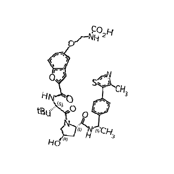 Cc1ncsc1-c1ccc([C@H](C)NC(=O)[C@@H]2C[C@@H](O)CN2C(=O)[C@@H](NC(=O)c2cc3cc(OCCNC(=O)O)ccc3o2)C(C)(C)C)cc1